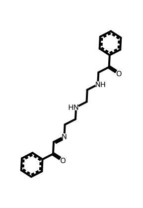 O=C(C=NCCNCCNCC(=O)c1ccccc1)c1ccccc1